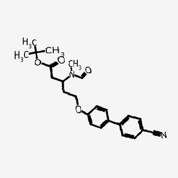 CN(C=O)C(CCOc1ccc(-c2ccc(C#N)cc2)cc1)CC(=O)OC(C)(C)C